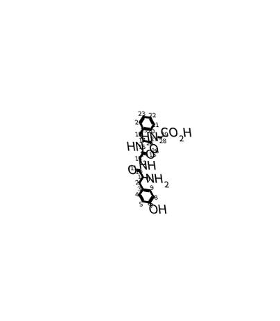 N[C@@H](Cc1ccc(O)cc1)C(=O)NCC(=O)N[C@@H](Cc1ccccc1)C(=O)NCC(=O)O